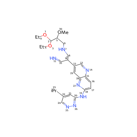 CCOC(OCC)C(CN/C=C(\C=N)c1cnc2ccc(Nc3cc(C(C)C)cnn3)nc2c1)OC